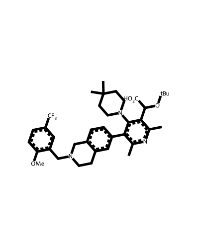 COc1ccc(C(F)(F)F)cc1CN1CCc2cc(-c3c(C)nc(C)c(C(OC(C)(C)C)C(=O)O)c3N3CCC(C)(C)CC3)ccc2C1